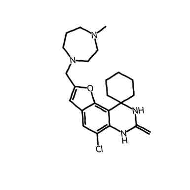 C=C1Nc2c(Cl)cc3cc(CN4CCCN(C)CC4)oc3c2C2(CCCCC2)N1